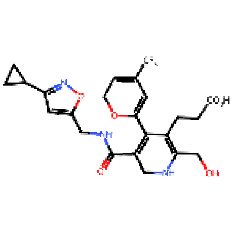 O=C(O)CCC1=C(CO)NCC(C(=O)NCc2cc(C3CC3)no2)=C1C1=CC(C(F)(F)F)=CCO1